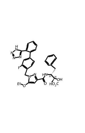 CCOc1cc(C(=O)N[C@H](Cc2ccccc2)[C@@H](O)C(=O)O)nn1Cc1ccc(-c2ccccc2-c2nnn[nH]2)cc1F